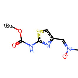 CC(C)[N+]([O-])=Cc1csc(NC(=O)OC(C)(C)C)n1